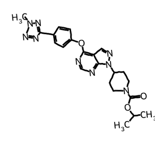 CC(C)OC(=O)N1CCC(n2ncc3c(Oc4ccc(-c5nnn(C)n5)cc4)ncnc32)CC1